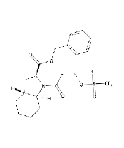 O=C(OCc1ccccc1)[C@@H]1C[C@H]2CCCC[C@@H]2N1C(=O)CCOS(=O)(=O)C(F)(F)F